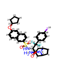 NC1CC2CCC(C1)N2C(=O)[C@H](NS(=O)(=O)c1ccc2cc(OC3CCCC3)ccc2c1)C(F)(F)c1ccc(I)cc1